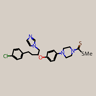 CSC(=S)N1CCN(c2ccc(OC(CCc3ccc(Cl)cc3)Cn3ccnc3)cc2)CC1